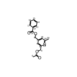 CC(=O)OCc1cc(COC(=O)c2ccccc2)cc(C)n1